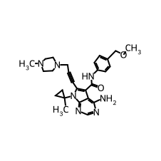 COCc1ccc(NC(=O)c2c(C#CCN3CCN(C)CC3)n(C3(C)CC3)c3ncnc(N)c23)cc1